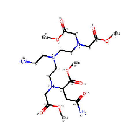 CC(C)(C)OC(=O)CN(CCN(CCN)CCN(CC(=O)OC(C)(C)C)C(CC(N)=O)C(=O)OC(C)(C)C)CC(=O)OC(C)(C)C